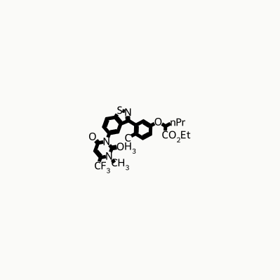 CCCC(Oc1ccc(C)c(-c2nsc3ccc(-n4c(=O)cc(C(F)(F)F)n(C)c4=O)cc23)c1)C(=O)OCC